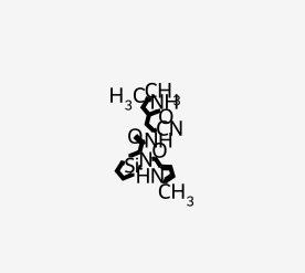 Cc1ccc(C(=O)N2C[Si]3(CCCC3)CC2C(=O)NC(C#N)CC2CC(C)(C)NC2=O)[nH]1